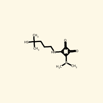 CN(C)c1c(NCCCC(C)(C)S)c(=O)c1=O